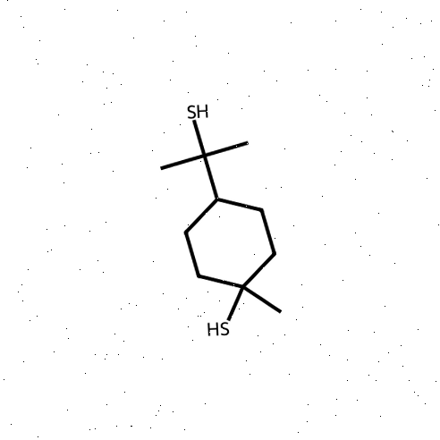 CC1(S)CCC(C(C)(C)S)CC1